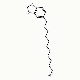 OCCCCCCCCCOCc1ccc2c(c1)OCO2